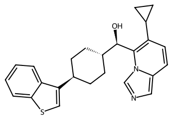 O[C@@H](c1c(C2CC2)ccc2cncn12)[C@H]1CC[C@H](c2csc3ccccc32)CC1